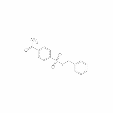 NC(=O)c1ccc(S(=O)(=O)[CH]Cc2ccccc2)cc1